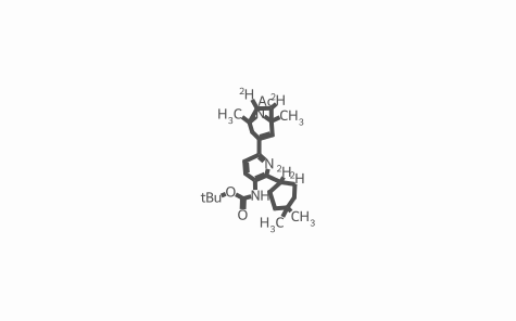 [2H]C1CC(C)(C)CCC1([2H])c1nc(C2=CC3(C)C([2H])C([2H])C(C)(C2)N3C(C)=O)ccc1NC(=O)OC(C)(C)C